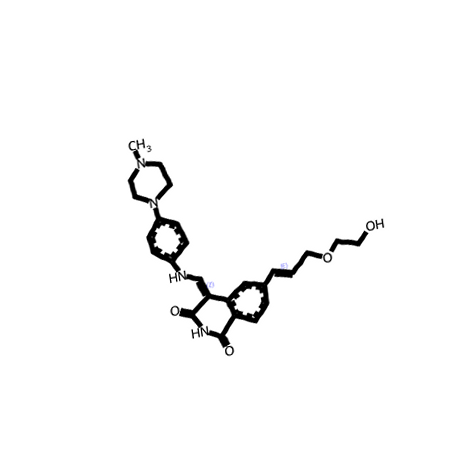 CN1CCN(c2ccc(N/C=C3\C(=O)NC(=O)c4ccc(/C=C/COCCO)cc43)cc2)CC1